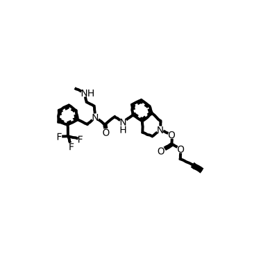 C#CCOC(=O)ON1CCc2c(cccc2NCC(=O)N(CCNC)Cc2ccccc2C(F)(F)F)C1